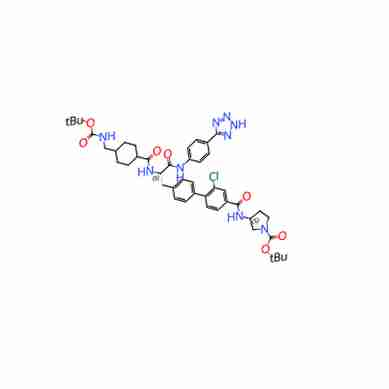 CC(C)(C)OC(=O)NCC1CCC(C(=O)N[C@@H](Cc2ccc(-c3ccc(C(=O)N[C@H]4CCN(C(=O)OC(C)(C)C)C4)cc3Cl)cc2)C(=O)Nc2ccc(-c3nn[nH]n3)cc2)CC1